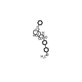 COc1ccc(-c2ccc(S(=O)(=O)NC(CC3(COc4ccccc4)OCCCO3)C(=O)O)cc2)cc1